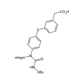 CCCCCCCN(C(=O)NCCCC)c1ccc(Sc2cccc(CC(=O)O)c2)cc1